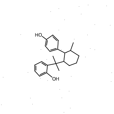 CC1CCCC(C(C)(C)c2ccccc2O)C1c1ccc(O)cc1